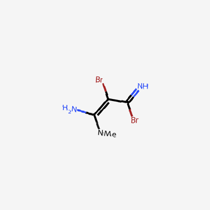 CN/C(N)=C(/Br)C(=N)Br